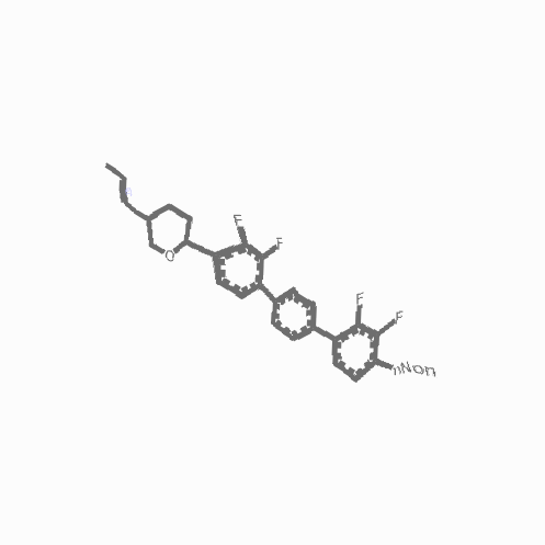 C/C=C/C1CCC(c2ccc(-c3ccc(-c4ccc(CCCCCCCCC)c(F)c4F)cc3)c(F)c2F)OC1